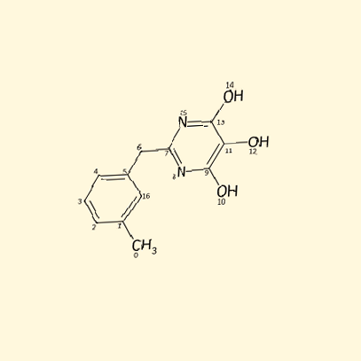 Cc1cccc(Cc2nc(O)c(O)c(O)n2)c1